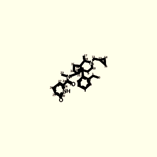 CCc1ccccc1C12CCN(CC3CC3)C(C)C13CCC(N(C)C(=O)c1cccc(=O)[nH]1)C2CC3